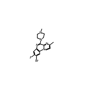 CC1=C=CN2C(=N1)C(N1CCN(C)CC1)=Nc1cc(F)c(Br)cc12